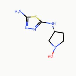 Nc1nnc(N[C@@H]2CCN(O)C2)s1